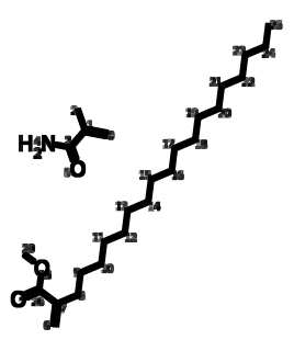 C=C(C)C(N)=O.C=C(CCCCCCCCCCCCCCCCCC)C(=O)OC